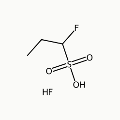 CCC(F)S(=O)(=O)O.F